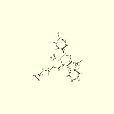 Cc1ccc([C@H]2Cc3c(c4ccccc4n3C)[C@@H](CCNCC3CC3)[C@@H]2N)cc1